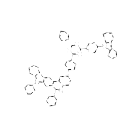 c1ccc(-c2nc(-c3ccc(-c4ccc5nc(-c6ccccc6)c6cc7c(cc6c5c4)c4ccccc4n7-c4ccccc4)cc3)nc(-c3ccc(-n4c5ccccc5c5ccccc54)cc3)n2)cc1